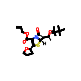 C=CCOC(=O)C1=C([C@H]2CCCO2)S[C@@H]2[C@@H]([C@@H](C)O[Si](C)(C)C(C)(C)C)C(=O)N12